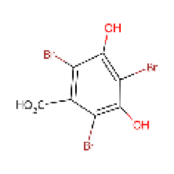 O=C(O)c1c(Br)c(O)c(Br)c(O)c1Br